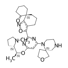 C[C@H](Oc1cc(N2CCNC[C@]23CCOC3)nc(-c2onc3c2CCC[C@@]32CCCCC2=O)n1)[C@@H]1CCCN1C